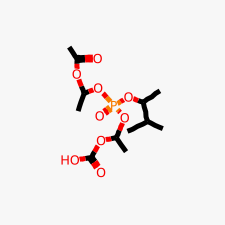 CC(=O)OC(C)OP(=O)(OC(C)OC(=O)O)OC(C)C(C)C